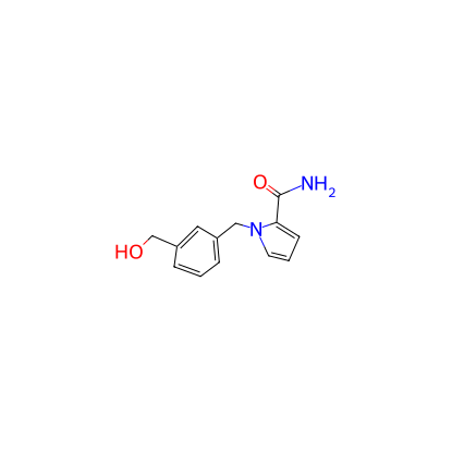 NC(=O)c1cccn1Cc1cccc(CO)c1